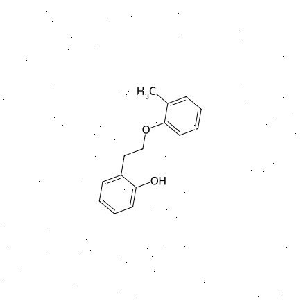 Cc1ccccc1OCCc1ccccc1O